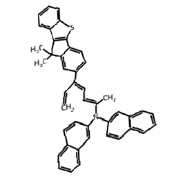 C=C/C(=C\C=C(/C)N(c1ccc2ccccc2c1)c1ccc2ccccc2c1)c1ccc2c(c1)C(C)(C)c1c-2sc2ccccc12